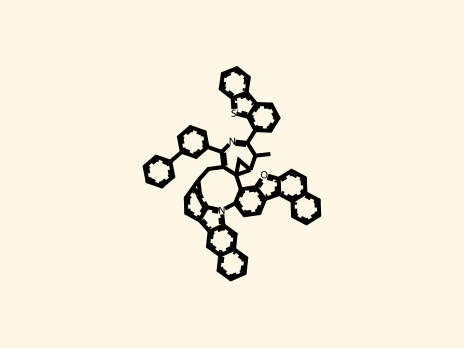 CC1C(c2cccc3c2sc2ccccc23)=NC(c2cccc(-c3ccccc3)c2)=C2Cc3ccc4c5cc6ccccc6cc5n(c4c3)-c3ccc4c(oc5ccc6ccccc6c54)c3C23CC13